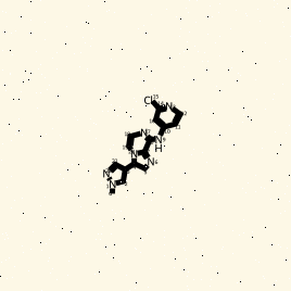 CN1CC(C2CN=C3C(Nc4ccnc(Cl)c4)=NC=CN32)C=N1